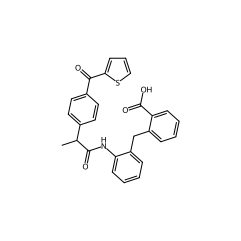 CC(C(=O)Nc1ccccc1Cc1ccccc1C(=O)O)c1ccc(C(=O)c2cccs2)cc1